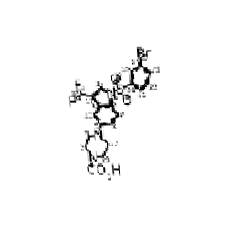 O=C(O)N1CCN(c2ccc3c(c2)c(C(F)F)cn3S(=O)(=O)c2cccc(Br)c2)CC1